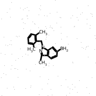 Bc1ccc2c(C)nn(Cc3c(C)cccc3C)c2c1